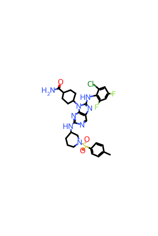 Cc1ccc(S(=O)(=O)N2CCCC(Nc3ncc4nc(Nc5c(F)cc(F)cc5Cl)n(C5CCC(C(N)=O)CC5)c4n3)C2)cc1